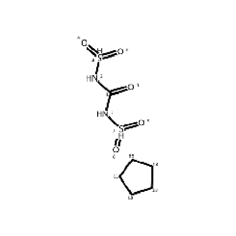 O=C(N[SH](=O)=O)N[SH](=O)=O.[CH]1CCCC1